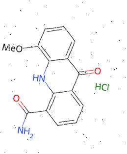 COc1cccc2c(=O)c3cccc(C(N)=O)c3[nH]c12.Cl